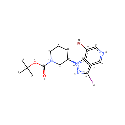 CC(C)(C)OC(=O)N1CCC[C@@H](n2nc(I)c3cncc(Br)c32)C1